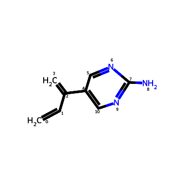 C=CC(=C)c1cnc(N)nc1